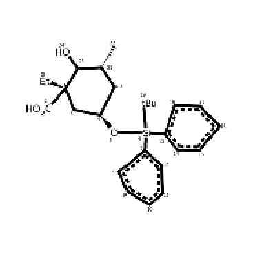 CC[C@]1(C(=O)O)C[C@H](O[Si](c2ccccc2)(c2ccccc2)C(C)(C)C)C[C@@H](C)C1O